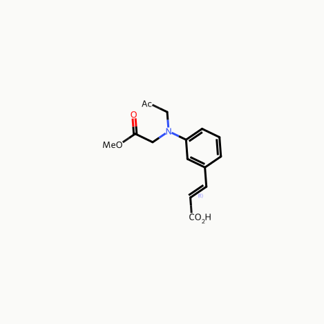 COC(=O)CN(CC(C)=O)c1cccc(/C=C/C(=O)O)c1